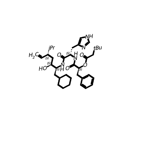 C=C[C@@H](C[C@H](O)[C@H](CC1CCCCC1)NC(=O)[C@H](Cc1c[nH]cn1)NC(=O)[C@H](Cc1ccccc1)OC(=O)CC(C)(C)C)C(C)C